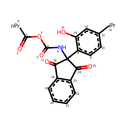 CCCC(=O)OC(=O)NC1(c2ccc(C(C)C)cc2O)C(=O)c2ccccc2C1=O